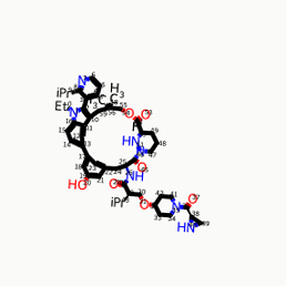 CCn1c(-c2cccnc2C(C)C)c2c3cc(ccc31)-c1cc(O)cc(c1)C[C@H](NC(=O)[C@@H](COC1CCN(C(=O)[C@H]3CN3)CC1)C(C)C)C(=O)N1CCC[C@H](N1)C(=O)OCC(C)(C)C2